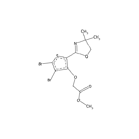 COC(=O)COc1c(C2=NC(C)(C)CO2)sc(Br)c1Br